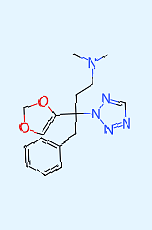 CN(C)CCC(Cc1ccccc1)(C1=COCO1)n1ncnn1